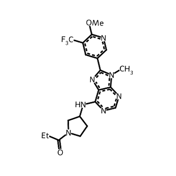 CCC(=O)N1CCC(Nc2ncnc3c2nc(-c2cnc(OC)c(C(F)(F)F)c2)n3C)C1